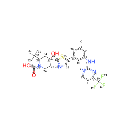 Cc1cc(Nc2nccc(C(F)(F)F)n2)cc(-c2cnc(C3(O)CCN(C(=O)O)C(C(C)(C)C)C3)s2)c1